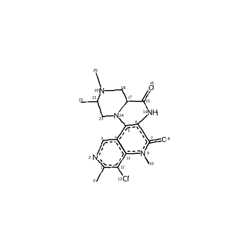 Cc1ncc2c3c(c(=O)n(C)c2c1Cl)NC(=O)C1CN(C)C(C)CN31